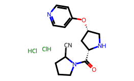 Cl.Cl.N#CC1CCCN1C(=O)[C@@H]1C[C@H](Oc2ccncc2)CN1